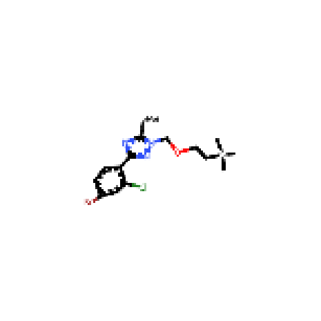 CSc1nc(-c2ccc(Br)cc2Cl)nn1COCC[Si](C)(C)C